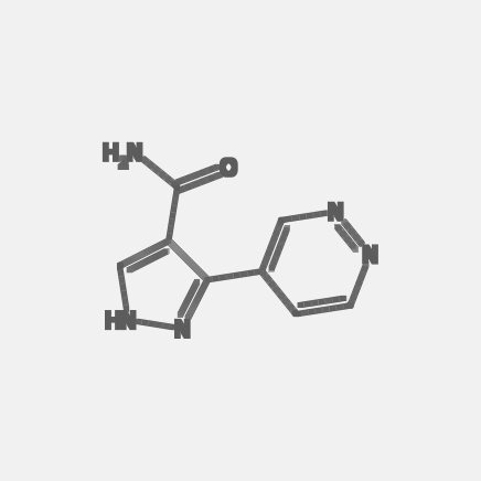 NC(=O)c1c[nH]nc1-c1ccnnc1